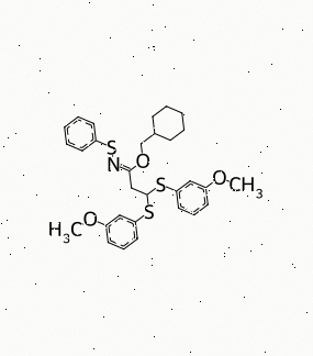 COc1cccc(SC(C/C(=N/Sc2ccccc2)OCC2CCCCC2)Sc2cccc(OC)c2)c1